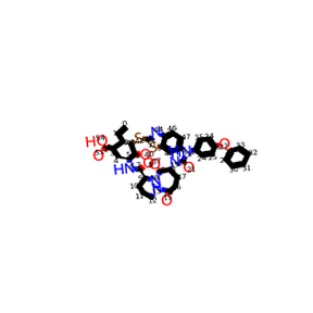 C=CCC(C[C@H](NC(=O)[C@@H]1CCCN2C(=O)CC[C@H](NC(=O)Nc3ccc(Oc4ccccc4)cc3)C(=O)N12)C(=O)CSc1nc2ccccc2s1)C(=O)O